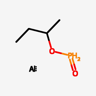 CCC(C)O[PH2]=O.[Al]